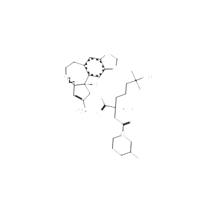 COC1=C[C@]23CCCN2CCc2cc4c(cc2[C@@H]3[C@@H]1OC(=O)[C@@](O)(CCCC(C)(C)O)CC(=O)N1CCCC(C)C1)OCO4